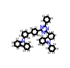 C1=CC2C(C(c3nc(-c4ccccc4)nc(-c4ccc(-c5cccc(-n6c7ccccc7c7ccccc76)c5)cc4)n3)=C1)c1ccccc1N2c1ccccc1